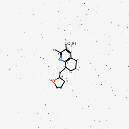 CCOC(=O)c1cc2c(nc1C)C(CC1CCCO1)CCC2